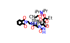 [C-]#[N+]CCOP(OC1[C@@H](CC)O[C@@H](c2cn(CCC(=O)NCCN3C(=O)c4ccccc4C3=O)c(=O)[nH]c2=O)[C@H]1O[Si](C)(C)C(C)(C)C)N(C(C)C)C(C)C